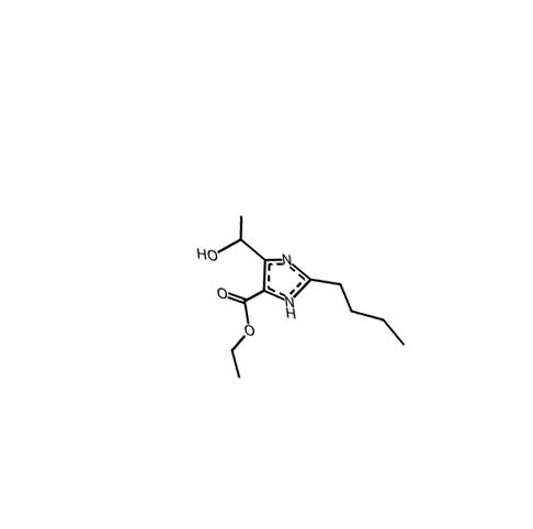 CCCCc1nc(C(C)O)c(C(=O)OCC)[nH]1